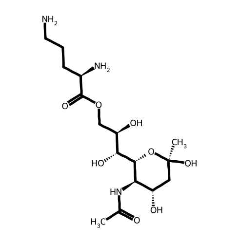 CC(=O)N[C@H]1[C@H]([C@H](O)[C@H](O)COC(=O)[C@H](N)CCCN)O[C@@](C)(O)C[C@@H]1O